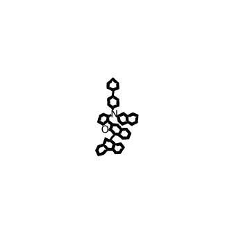 c1ccc(-c2ccc(N(c3ccc4ccccc4c3)c3cccc4oc5c(-c6cc7ccccc7c7ccccc67)c6ccccc6cc5c34)cc2)cc1